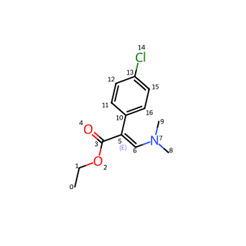 CCOC(=O)/C(=C/N(C)C)c1ccc(Cl)cc1